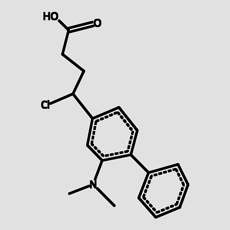 CN(C)c1cc(C(Cl)CCC(=O)O)ccc1-c1ccccc1